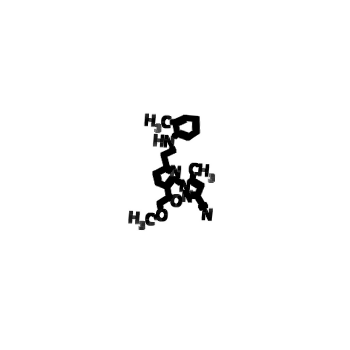 COCC(=O)c1ccc(CCNc2ccccc2C)nc1-n1nc(C#N)cc1C